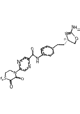 NC1=N[C@@H](CCc2ccc(NC(=O)c3cnc(N4CC[SH4]C(=O)C4=O)cn3)cc2)CO1